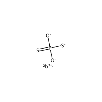 [O-]P([O-])(=S)[S-].[Pb+3]